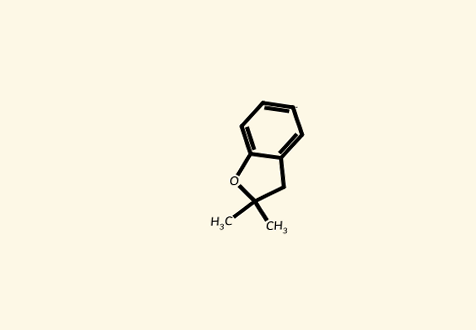 CC1(C)Cc2c[c]ccc2O1